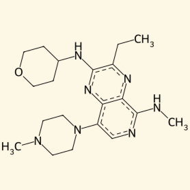 CCc1nc2c(NC)ncc(N3CCN(C)CC3)c2nc1NC1CCOCC1